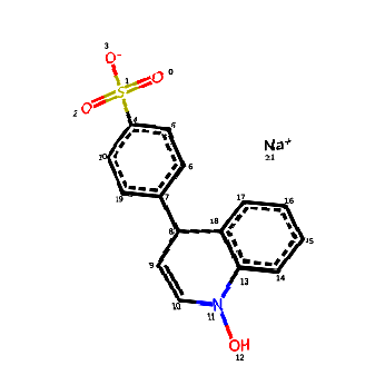 O=S(=O)([O-])c1ccc(C2C=CN(O)c3ccccc32)cc1.[Na+]